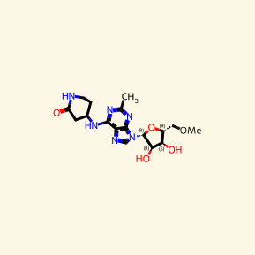 COC[C@H]1O[C@@H](n2cnc3c(NC4CCNC(=O)C4)nc(C)nc32)[C@H](O)[C@@H]1O